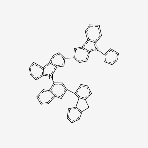 c1ccc(-n2c3ccccc3c3cc(-c4ccc5c6ccccc6n(-c6cc(-c7cccc8c7-c7ccccc7C8)cc7ccccc67)c5c4)ccc32)cc1